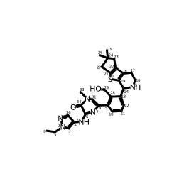 CCn1cc(Nc2nc(-c3cccc(C4NCCc5c4sc4c5CC(C)(C)C4)c3CO)cn(C)c2=O)cn1